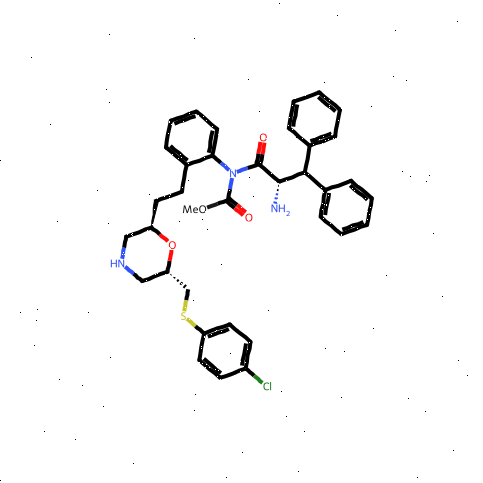 COC(=O)N(C(=O)[C@@H](N)C(c1ccccc1)c1ccccc1)c1ccccc1CC[C@@H]1CNC[C@@H](CSc2ccc(Cl)cc2)O1